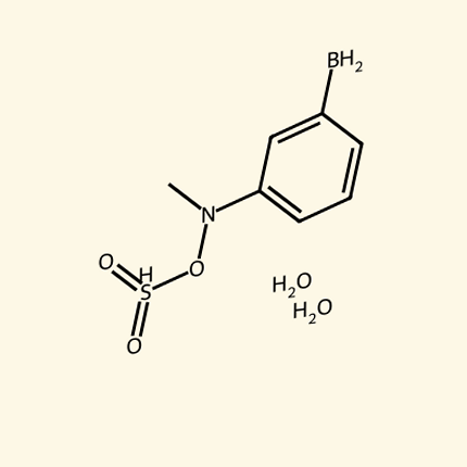 Bc1cccc(N(C)O[SH](=O)=O)c1.O.O